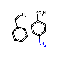 C=Cc1ccccc1.Nc1ccc(S(=O)(=O)O)cc1